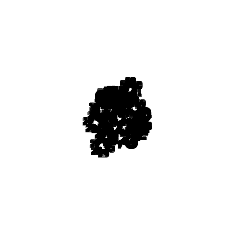 N#Cc1c(-c2cccc3oc4ccccc4c23)c(-n2c3ccccc3c3c4ccccc4sc32)c(-c2cccc3oc4ccccc4c23)c(-n2c3ccccc3c3c4ccccc4sc32)c1-c1cccc2oc3ccccc3c12